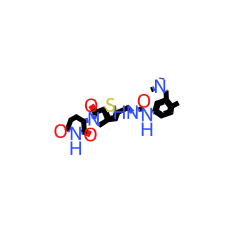 Cc1ccc(NC(=O)NCc2cc3c(s2)C(=O)N(C2CCC(=O)NC2=O)C3)cc1CN(C)C